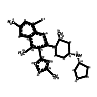 Cc1cc(F)c2nc(N3CC[C@@H](N[C@@H]4CCOC4)C[C@H]3C)c(-c3nc(C)no3)c(C)c2c1